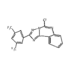 FC(F)(F)c1cc(-c2nc3c4ccccc4nc(Cl)n3n2)cc(C(F)(F)F)c1